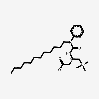 CCCCCCCCCCCCN(C(=O)N[C@H](CC(=O)[O-])C[N+](C)(C)C)c1ccccc1